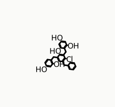 Oc1ccc(Cc2cc(Cc3ccccc3)c(Cl)c(Cc3ccc(O)cc3O)c2O)c(O)c1